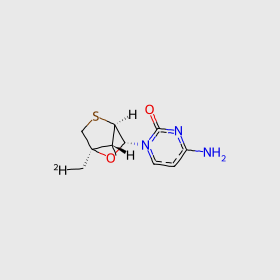 [2H]C[C@@]12CS[C@@H]([C@H](n3ccc(N)nc3=O)O1)[C@@H]2C